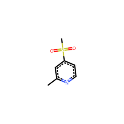 Cc1cc(S(C)(=O)=O)[c]cn1